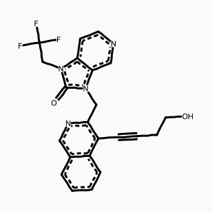 O=c1n(Cc2ncc3ccccc3c2C#CCCO)c2cnccc2n1CC(F)(F)F